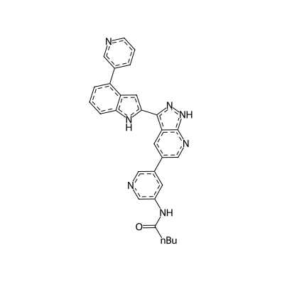 CCCCC(=O)Nc1cncc(-c2cnc3[nH]nc(-c4cc5c(-c6cccnc6)cccc5[nH]4)c3c2)c1